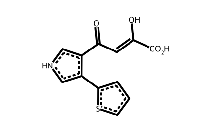 O=C(O)C(O)=CC(=O)c1c[nH]cc1-c1cccs1